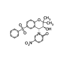 CC1(C)Oc2ccc(S(=O)(=O)c3ccccc3)cc2[C@@H](n2cc([N+](=O)[O-])ccc2=O)[C@@H]1O